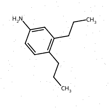 CCCc1ccc(N)cc1CCC